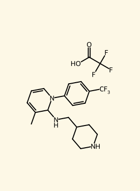 CC1=CC=CN(c2ccc(C(F)(F)F)cc2)C1NCC1CCNCC1.O=C(O)C(F)(F)F